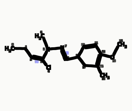 CC/C=C(/Cl)N(C)/N=C/C1C=CC(OC)=C(C)C1